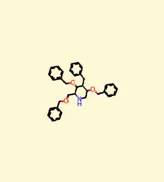 c1ccc(COCC2NCC(OCc3ccccc3)C(Cc3ccccc3)C2OCc2ccccc2)cc1